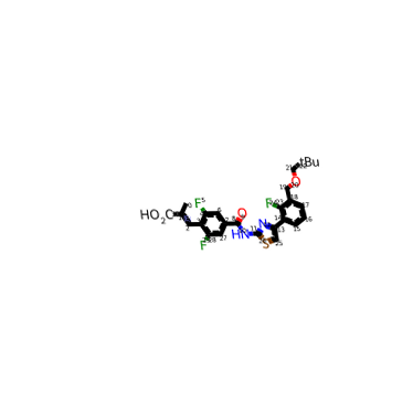 C/C(=C\c1c(F)cc(C(=O)Nc2nc(-c3cccc(COCC(C)(C)C)c3F)cs2)cc1F)C(=O)O